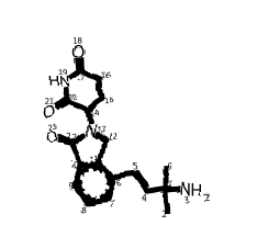 CC(C)(N)C=Cc1cccc2c1CN(C1CCC(=O)NC1=O)C2=O